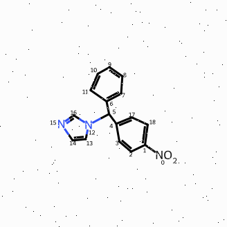 O=[N+]([O-])c1ccc(C(c2ccccc2)n2ccnc2)cc1